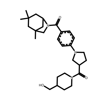 CC1(C)CC2CC(C)(CN2C(=O)c2ccc(N3CCC(C(=O)N4CCC(CO)CC4)C3)cc2)C1